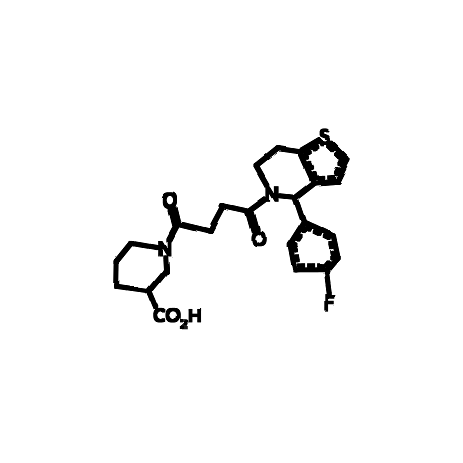 O=C(O)C1CCCN(C(=O)CCC(=O)N2CCc3sccc3C2c2ccc(F)cc2)C1